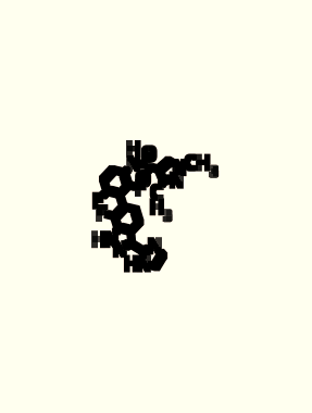 Cc1nn(C)cc1S(=O)(=O)Nc1ccc(F)c(-c2ccc3c(-c4ncc[nH]4)n[nH]c3c2F)c1F